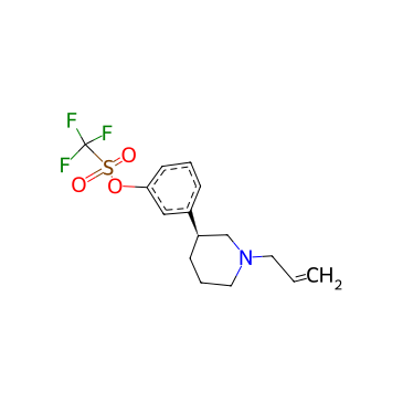 C=CCN1CCC[C@@H](c2cccc(OS(=O)(=O)C(F)(F)F)c2)C1